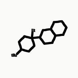 CCC1(C2CCC3CCCCC3C2)CCC(C(C)(C)C)CC1